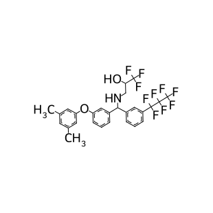 Cc1cc(C)cc(Oc2cccc(C(NCC(O)C(F)(F)F)c3cccc(C(F)(F)C(F)(F)C(F)(F)F)c3)c2)c1